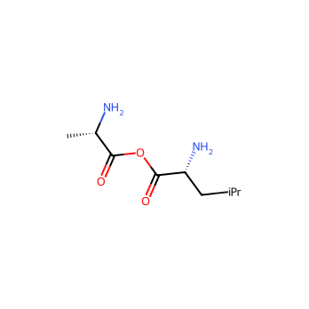 CC(C)C[C@@H](N)C(=O)OC(=O)[C@H](C)N